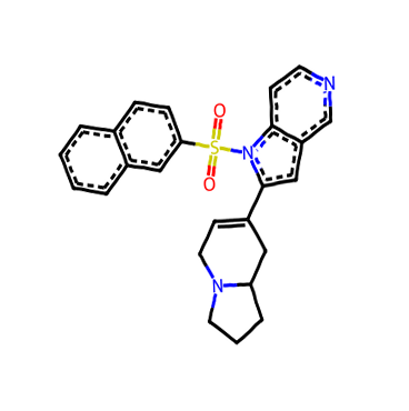 O=S(=O)(c1ccc2ccccc2c1)n1c(C2=CCN3CCCC3C2)cc2cnccc21